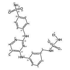 CCNS(=O)(=O)NCc1cccc(Nc2nc(Nc3ccc(S(N)(=O)=O)cc3)ncc2C)c1